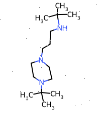 CC(C)(C)NCCCN1CCN(C(C)(C)C)CC1